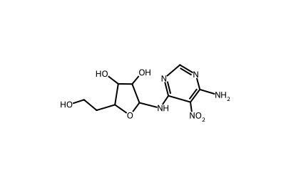 Nc1ncnc(NC2OC(CCO)C(O)C2O)c1[N+](=O)[O-]